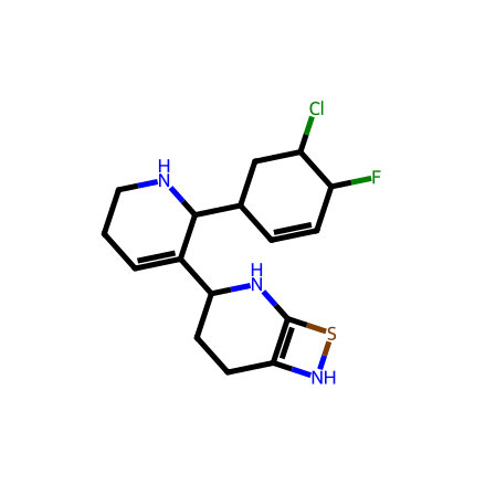 FC1C=CC(C2NCCC=C2C2CCc3[nH]sc3N2)CC1Cl